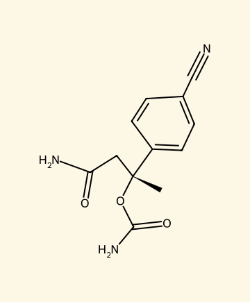 C[C@](CC(N)=O)(OC(N)=O)c1ccc(C#N)cc1